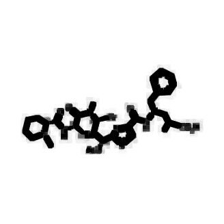 CC[C@H](C)[C@H](NC(=O)[C@H]1CCCCN1C)C(=O)N(C)[C@H](C[C@@H](OC(C)=O)c1nc(C(=O)NN(Cc2ccccc2)CC(C)C(=O)O)cs1)C(C)C